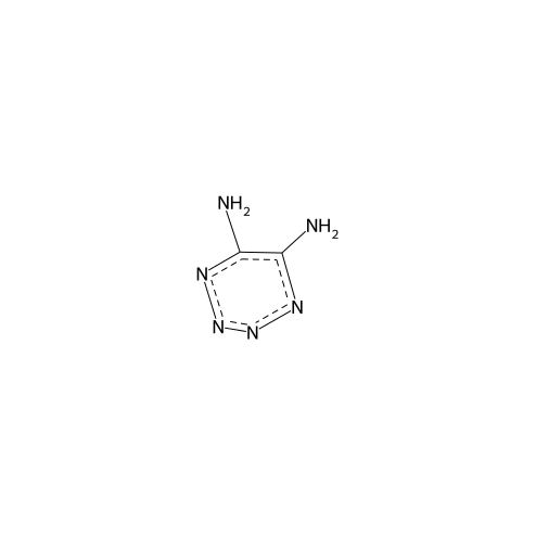 Nc1nnnnc1N